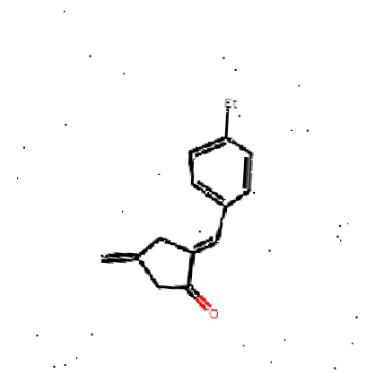 C=C1CC(=O)/C(=C/c2ccc(CC)cc2)C1